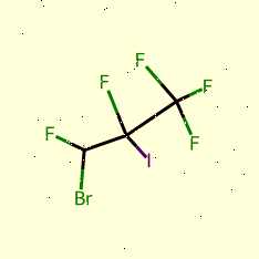 F[C](Br)C(F)(I)C(F)(F)F